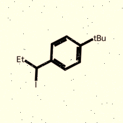 CCC(I)c1ccc(C(C)(C)C)cc1